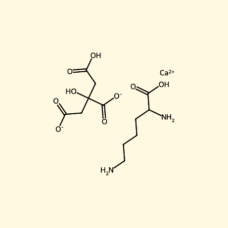 NCCCCC(N)C(=O)O.O=C([O-])CC(O)(CC(=O)O)C(=O)[O-].[Ca+2]